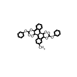 Cc1ccc2c(c1)=C(OC(=O)Oc1ccccc1)C(=O)C1=c3ccccc3=C(OC(=O)Oc3ccccc3)C(=O)C=21